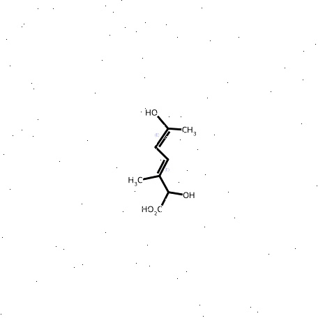 C/C(O)=C\C=C(/C)C(O)C(=O)O